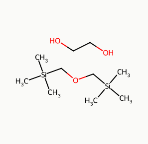 C[Si](C)(C)COC[Si](C)(C)C.OCCO